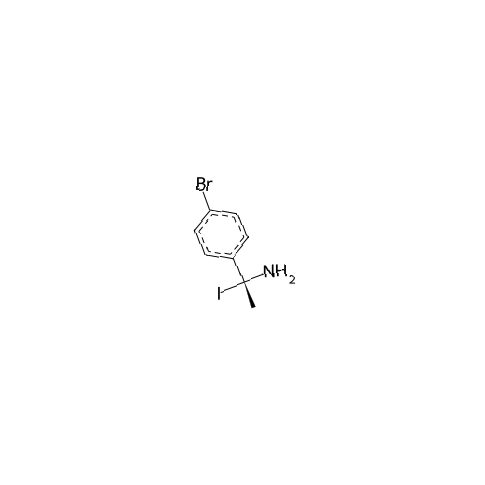 C[C@@](N)(I)c1ccc(Br)cc1